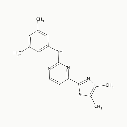 Cc1cc(C)cc(Nc2nccc(-c3nc(C)c(C)s3)n2)c1